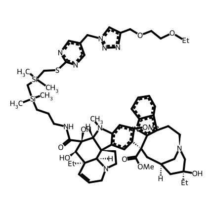 CCOCCOCc1cn(Cc2cnc(SC[Si](C)(C)C[Si](C)(C)CCCNC(=O)[C@@]3(O)[C@H](O)[C@]4(CC)C=CCN5CC[C@@]6(c7cc([C@@]8(C(=O)OC)C[C@H]9C[N@@](CCc%10c8[nH]c8ccccc%108)C[C@](O)(CC)C9)c(OC)cc7N(C)[C@@H]36)[C@@H]54)nc2)nn1